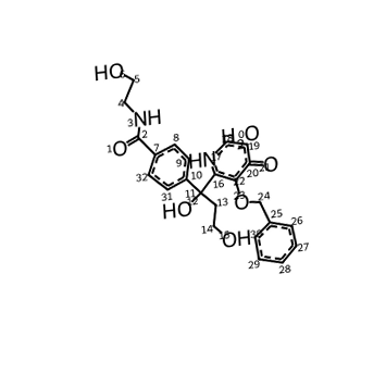 O.O=C(NCCO)c1ccc(C(O)(CCO)c2[nH]ccc(=O)c2OCc2ccccc2)cc1